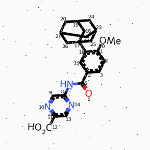 COc1ccc(C(=O)Nc2cnc(C(=O)O)cn2)cc1C12CC3CC(CC(C3)C1)C2